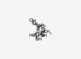 CC(C)(Cc1cccc(C(=O)NCc2ccc(Cl)cc2)c1)NC[C@H](O)c1ccc(O)c(CO)c1